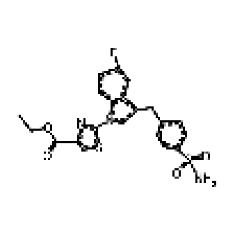 CCOC(=O)c1csc(-n2cc(Cc3ccc(S(N)(=O)=O)cc3)c3cc(F)ccc32)n1